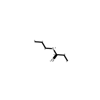 CC[CH]SC(=O)CC